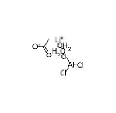 CC(=O)[O-].O.O.[Cl][Al]([Cl])[Cl].[Li+]